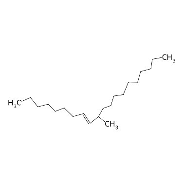 CCCCCCC/C=C/C(C)CCCCCCCCCC